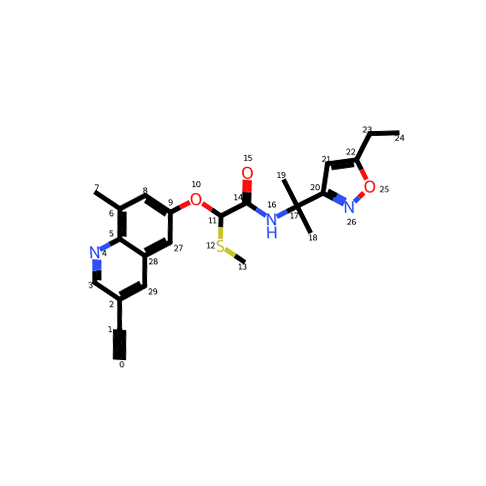 C#Cc1cnc2c(C)cc(OC(SC)C(=O)NC(C)(C)c3cc(CC)on3)cc2c1